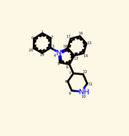 c1ccc(-n2cc(C3CCNCC3)c3ccccc32)cc1